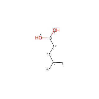 CC(C)CC[C](O)O